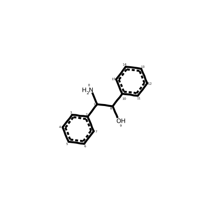 NC(c1ccccc1)C(O)c1ccccc1